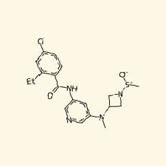 CCc1cc(Cl)ccc1C(=O)Nc1cncc(N(C)C2CN([S+](C)[O-])C2)c1